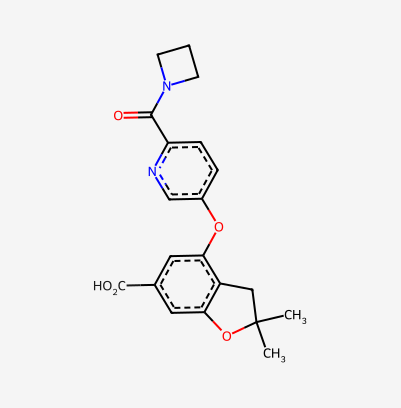 CC1(C)Cc2c(Oc3ccc(C(=O)N4CCC4)nc3)cc(C(=O)O)cc2O1